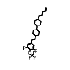 C=CCCC[C@H]1CC[C@H]([C@H]2CC[C@H](CCc3cc(F)c(OC(F)(F)F)c(F)c3)CC2)CC1